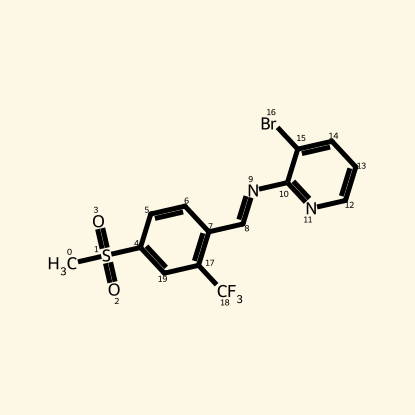 CS(=O)(=O)c1ccc(/C=N/c2ncccc2Br)c(C(F)(F)F)c1